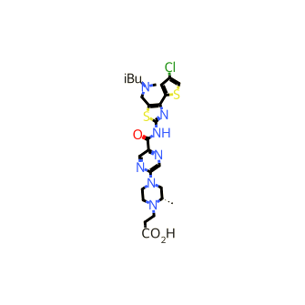 CCC(C)N(C)Cc1sc(NC(=O)c2cnc(N3CCN(CCC(=O)O)[C@@H](C)C3)cn2)nc1-c1cc(Cl)cs1